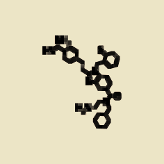 N=C(N)c1ccc(CCc2nc3cc(C(=O)N(CCN)CC4CCCCC4)ccc3n2CC2=CC=CCC2=S)cc1